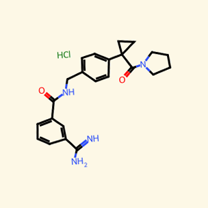 Cl.N=C(N)c1cccc(C(=O)NCc2ccc(C3(C(=O)N4CCCC4)CC3)cc2)c1